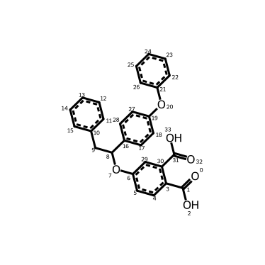 O=C(O)c1ccc(OC(Cc2ccccc2)c2ccc(Oc3ccccc3)cc2)cc1C(=O)O